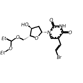 CCOC(CC)OC[C@H]1O[C@@H](n2cc(C=CBr)c(=O)[nH]c2=O)C[C@@H]1O